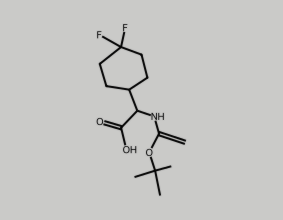 C=C(NC(C(=O)O)C1CCC(F)(F)CC1)OC(C)(C)C